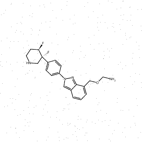 NCOCc1cccc2cn(-c3ccc([C@@]4(F)CNCC[C@H]4F)cc3)nc12